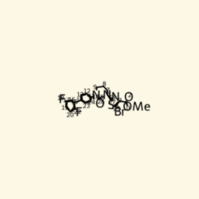 COC(=O)c1nc(N2CCCN(c3ccc(-c4cc(F)ccc4F)cc3)C2=O)sc1Br